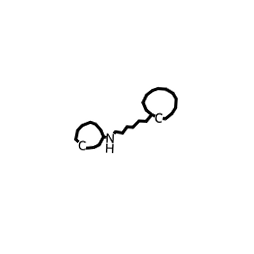 C1CCCCCCC(CCCCCCNC2CCCCCCCCCC2)CCCCC1